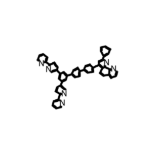 c1ccc(-c2cc(-c3ccc(-c4ccc(-c5cc(-c6ccc(-c7ccccn7)nc6)cc(-c6ccc(-c7ccccn7)nc6)c5)cc4)cc3)c3ccc4cccnc4c3n2)cc1